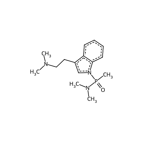 CN(C)CCc1cn(P(C)(=O)N(C)C)c2ccccc12